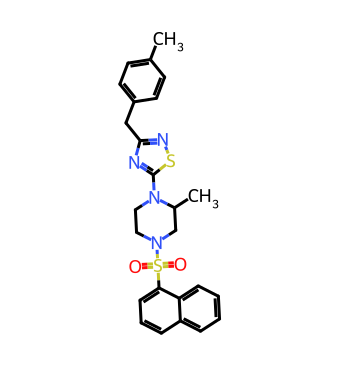 Cc1ccc(Cc2nsc(N3CCN(S(=O)(=O)c4cccc5ccccc45)CC3C)n2)cc1